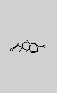 CC(=O)C1(C)COc2cc(Cl)ccc2O1